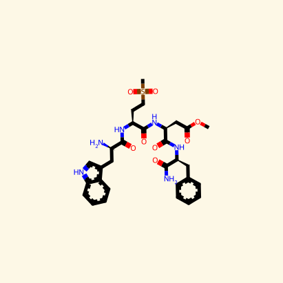 COC(=O)C[C@H](NC(=O)[C@H](CCS(C)(=O)=O)NC(=O)[C@H](N)Cc1c[nH]c2ccccc12)C(=O)N[C@@H](Cc1ccccc1)C(N)=O